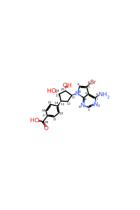 Nc1ncnc2c1c(Br)cn2[C@H]1C[C@@H](c2ccc(C(=O)O)cc2)[C@H](O)[C@@H]1O